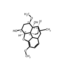 COC1=C2O[C@H]3[C@@H](O)C[C@@H](OC)[C@@]4(O)[C@H]5CC(C=C1)C2[C@@]34CCN5C